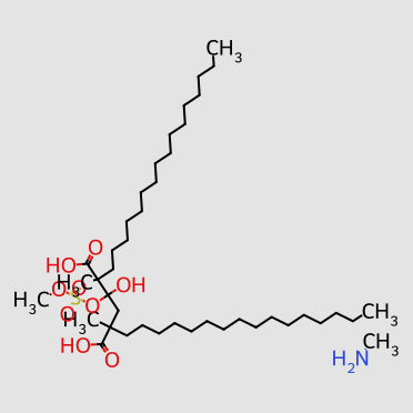 CCCCCCCCCCCCCCCCC(C)(CC(O)(OS(=O)(=O)OC)C(C)(CCCCCCCCCCCCCCCC)C(=O)O)C(=O)O.CN